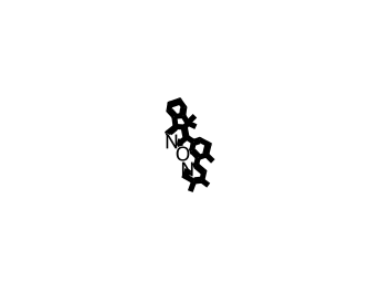 Cc1cnc(-c2c(C)ccc3c2oc2ncc4c(c23)C(C)(C)c2ccccc2-4)cc1C